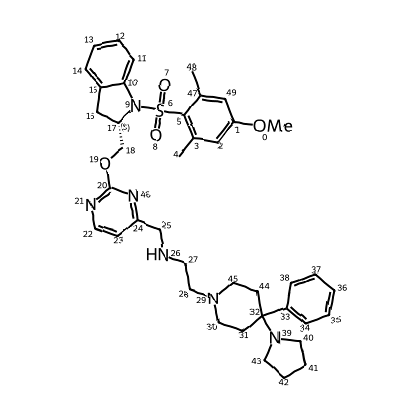 COc1cc(C)c(S(=O)(=O)N2c3ccccc3C[C@H]2COc2nccc(CNCCN3CCC(c4ccccc4)(N4CCCC4)CC3)n2)c(C)c1